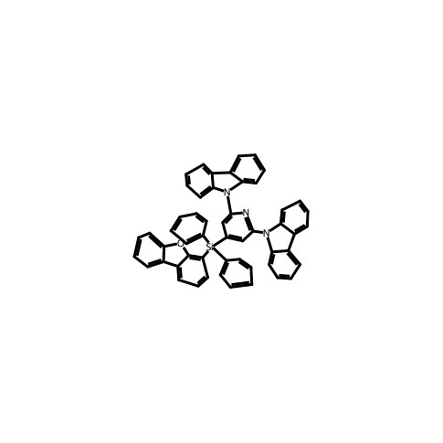 c1ccc([Si](c2ccccc2)(c2cc(-n3c4ccccc4c4ccccc43)nc(-n3c4ccccc4c4ccccc43)c2)c2cccc3c2oc2ccccc23)cc1